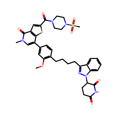 COc1cc(-c2cn(C)c(=O)c3cc(C(=O)N4CCN(S(C)(=O)=O)CC4)sc23)ccc1CCCCc1nn(C2CCC(=O)NC2=O)c2ccccc12